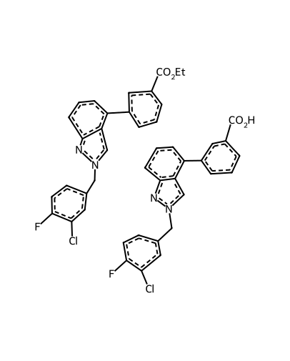 CCOC(=O)c1cccc(-c2cccc3nn(Cc4ccc(F)c(Cl)c4)cc23)c1.O=C(O)c1cccc(-c2cccc3nn(Cc4ccc(F)c(Cl)c4)cc23)c1